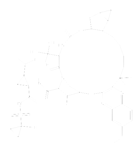 COc1ccc2nc3c(nc2c1)OC1CN(C(=O)C(C(C)(C)C)NC(=O)OC2CC4CC4C2CCCCC3(F)F)C(C(=O)N[C@]2(C(=O)NS(=O)(=O)C3(C)CC3)CC2C(F)F)C1C